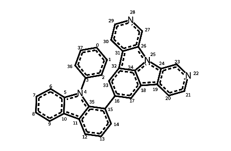 c1ccc(-n2c3ccccc3c3cccc(-c4cc5c6ccncc6n6c7cnccc7c(c4)c56)c32)cc1